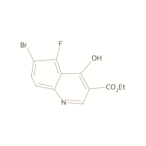 CCOC(=O)c1cnc2ccc(Br)c(F)c2c1O